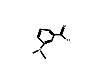 CN(C)c1[c]ccc(C(=N)N)c1